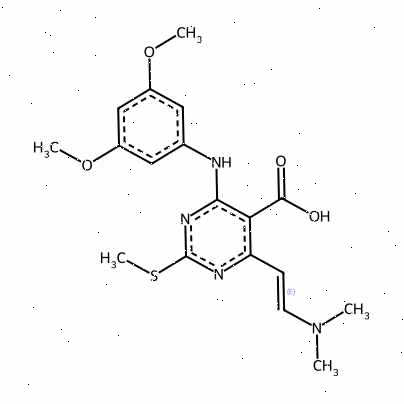 COc1cc(Nc2nc(SC)nc(/C=C/N(C)C)c2C(=O)O)cc(OC)c1